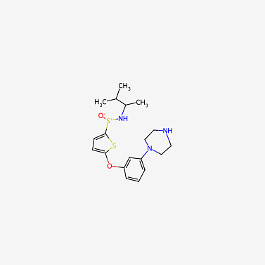 CC(C)C(C)N[S+]([O-])c1ccc(Oc2cccc(N3CCNCC3)c2)s1